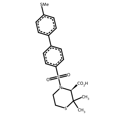 CSc1ccc(-c2ccc(S(=O)(=O)N3CCSC(C)(C)[C@@H]3C(=O)O)cc2)cc1